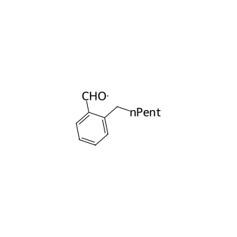 CCCCCCc1ccccc1[C]=O